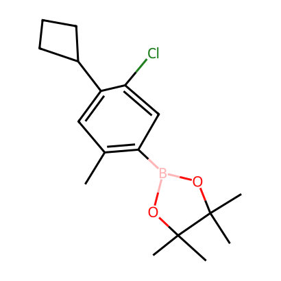 Cc1cc(C2CCC2)c(Cl)cc1B1OC(C)(C)C(C)(C)O1